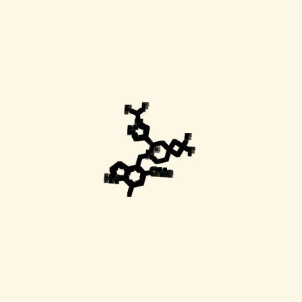 COc1cc(C)c2[nH]ccc2c1CN1CCC2(C[C@@H]1c1cnn(C(F)F)c1)CC(F)(F)C2